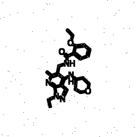 CCOc1ccccc1C(=O)NCc1c(C)nc2c(cnn2CC)c1NC1CCOCC1